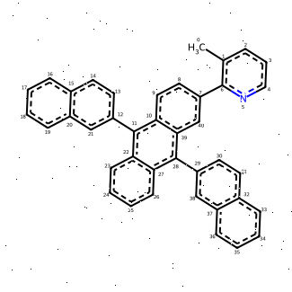 Cc1cccnc1-c1ccc2c(-c3ccc4ccccc4c3)c3ccccc3c(-c3ccc4ccccc4c3)c2c1